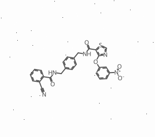 N#Cc1ccccc1C(=O)NCc1ccc(CNC(=O)c2scnc2Oc2cccc([N+](=O)[O-])c2)cc1